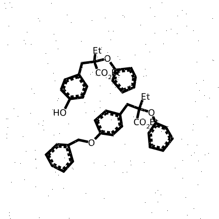 CCOC(=O)C(CC)(Cc1ccc(O)cc1)Oc1ccccc1.CCOC(=O)C(CC)(Cc1ccc(OCc2ccccc2)cc1)Oc1ccccc1